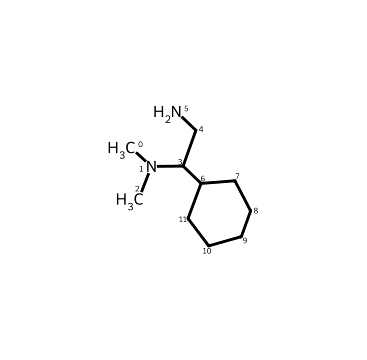 CN(C)C(CN)C1CCCCC1